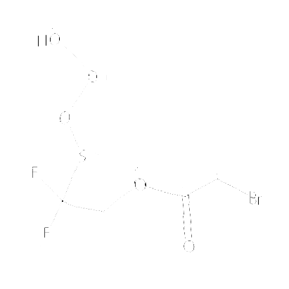 O=C(CBr)OCC(F)(F)SOOO